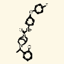 CC(c1ccccc1Cl)N1CC2CC1CN2C(=O)Nc1ccc(Oc2ccc(F)cc2)cc1